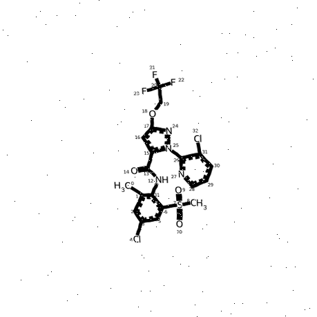 Cc1cc(Cl)cc(S(C)(=O)=O)c1NC(=O)c1cc(OCC(F)(F)F)nn1-c1ncccc1Cl